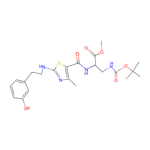 COC(=O)C(CNC(=O)OC(C)(C)C)NC(=O)c1sc(NCCc2cccc(O)c2)nc1C